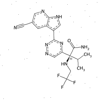 CC(C)[C@@](NCC(F)(F)F)(C(N)=O)c1cnnc(-c2c[nH]c3ncc(C#N)cc23)n1